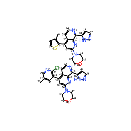 Cc1ccsc1-c1cc(N2CCOCC2)nc2c(-c3ccn[nH]3)nccc12.Cc1cnc(Cl)c(-c2cc(N3CCOCC3)nc3c(-c4ccn[nH]4)nccc23)c1